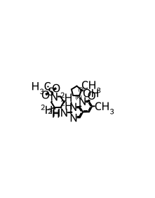 [2H]C1([2H])CN(S(C)(=O)=O)CC([2H])([2H])C1Nc1ncc2cc(C)c(=O)n([C@@H]3CCC[C@@]3(C)O)c2n1